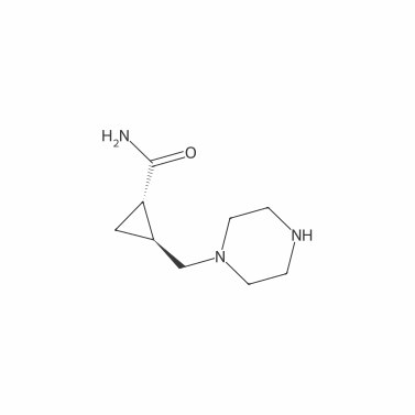 NC(=O)[C@H]1C[C@@H]1CN1CCNCC1